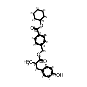 CC(Cc1ccc(O)cc1)C(=O)OCc1ccc(C(=O)OC2CCCCC2)cc1